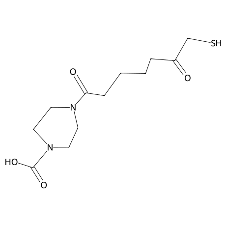 O=C(CS)CCCCC(=O)N1CCN(C(=O)O)CC1